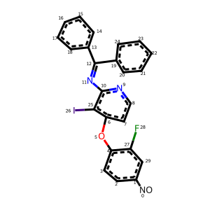 O=Nc1ccc(Oc2ccnc(N=C(c3ccccc3)c3ccccc3)c2I)c(F)c1